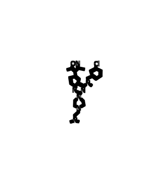 Cc1noc(C)c1-c1ccc2nc(N3CCN(CCN(C)C)CC3)nc(N(C)Cc3cccc(Cl)c3)c2c1